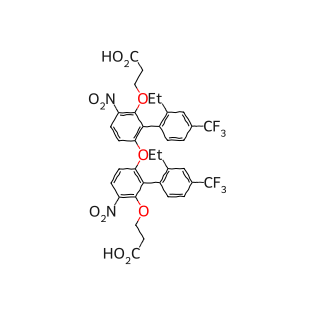 CCc1cc(C(F)(F)F)ccc1-c1c(Oc2ccc([N+](=O)[O-])c(OCCC(=O)O)c2-c2ccc(C(F)(F)F)cc2CC)ccc([N+](=O)[O-])c1OCCC(=O)O